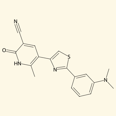 Cc1[nH]c(=O)c(C#N)cc1-c1csc(-c2cccc(N(C)C)c2)n1